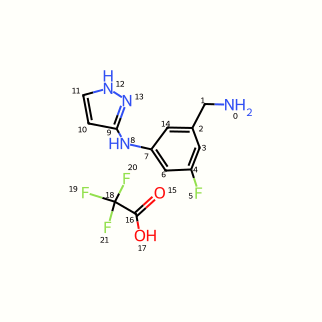 NCc1cc(F)cc(Nc2cc[nH]n2)c1.O=C(O)C(F)(F)F